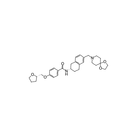 O=C(N[C@H]1CCc2cc(CN3CCC4(CC3)OCCO4)ccc2C1)c1ccc(OC[C@@H]2CCCO2)cc1